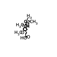 COc1cc2c(cc1/C=C/C(=O)O)nc(C1(NC(C)C)CCC1)n2C